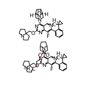 CC1(c2ccccc2-c2ncc3c(N4C[C@H]5CC[C@@H](C4)N5)nc(OCC45CCCN4CCC5)nc3c2F)CC1.CCCCOC(=O)N1C2CCC1CN(c1nc(OCC34CCCN3CCC4)nc3c(F)c(-c4ccccc4C4(C)CC4)ncc13)C2